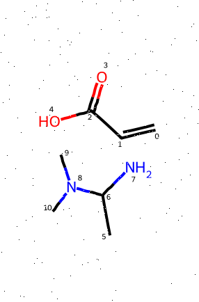 C=CC(=O)O.CC(N)N(C)C